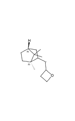 CC1(C)[C@@H]2CC[C@]1(C)C([CH]C1CCO1)C2